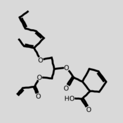 C=CC(=O)OCC(COC(/C=C\C=C/C)=C/C)OC(=O)C1CC=CCC1C(=O)O